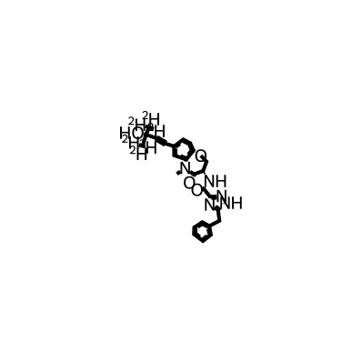 [2H]C([2H])([2H])C(O)(C#Cc1ccc2c(c1)N(C)C(=O)[C@@H](NC(=O)c1n[nH]c(Cc3ccccc3)n1)CO2)C([2H])([2H])[2H]